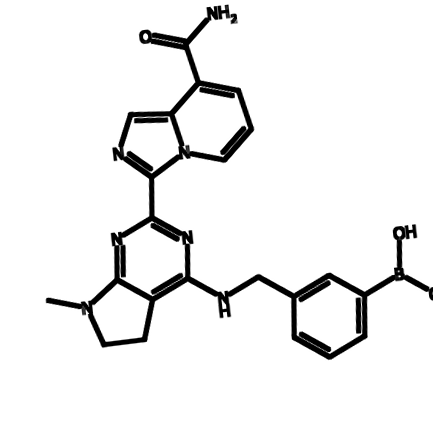 CN1CCc2c(NCc3cccc(B(O)O)c3)nc(-c3ncc4c(C(N)=O)cccn34)nc21